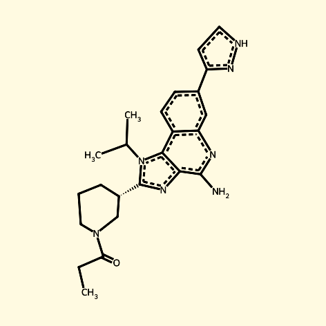 CCC(=O)N1CCC[C@H](c2nc3c(N)nc4cc(-c5cc[nH]n5)ccc4c3n2C(C)C)C1